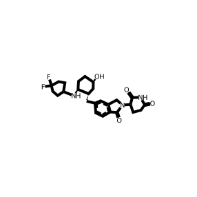 O=C1CCC(N2Cc3cc(C[C@H]4C[C@H](O)CC[C@@H]4NC4CCC(F)(F)CC4)ccc3C2=O)C(=O)N1